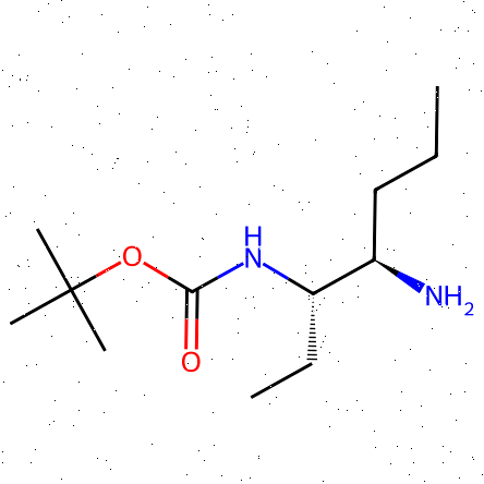 CCC[C@@H](N)[C@H](CC)NC(=O)OC(C)(C)C